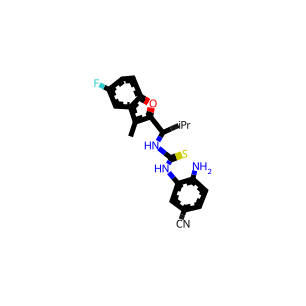 Cc1c(C(NC(=S)Nc2cc(C#N)ccc2N)C(C)C)oc2ccc(F)cc12